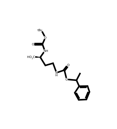 CC(OC(=O)NCC[C@H](NC(=O)OC(C)(C)C)C(=O)O)c1ccccc1